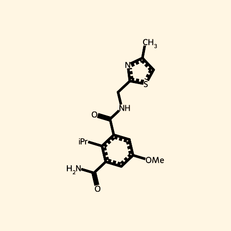 COc1cc(C(N)=O)c(C(C)C)c(C(=O)NCc2nc(C)cs2)c1